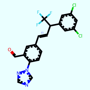 O=Cc1cc(/C=C/C(c2cc(Cl)cc(Cl)c2)C(F)(F)F)ccc1-n1cncn1